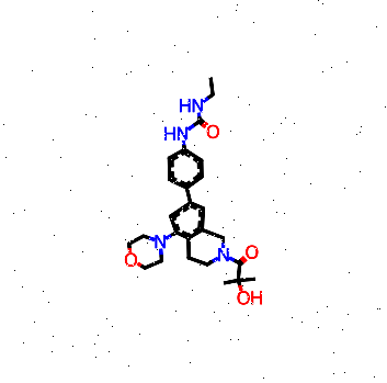 CCNC(=O)Nc1ccc(-c2cc3c(c(N4CCOCC4)c2)CCN(C(=O)C(C)(C)O)C3)cc1